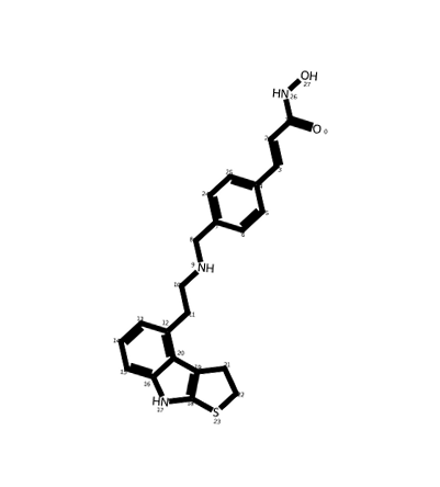 O=C(/C=C/c1ccc(CNCCc2cccc3[nH]c4c(c23)CCS4)cc1)NO